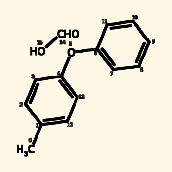 Cc1ccc(Oc2ccccc2)cc1.O=CO